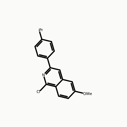 COc1ccc2c(Cl)nc(-c3ccc(C(C)C)cc3)cc2c1